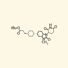 Cn1c(=O)n(C2CCC(=O)NC2=O)c2ccc([C@H]3CC[C@H](CCC(=O)OC(C)(C)C)CC3)cc21